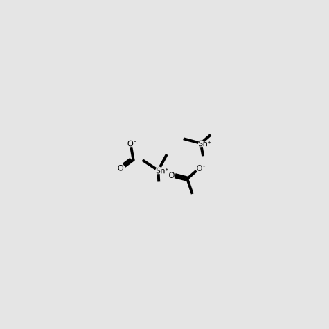 CC(=O)[O-].O=C[O-].[CH3][Sn+]([CH3])[CH3].[CH3][Sn+]([CH3])[CH3]